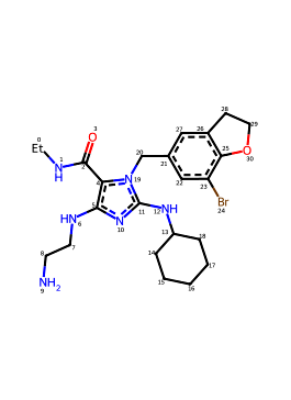 CCNC(=O)c1c(NCCN)nc(NC2CCCCC2)n1Cc1cc(Br)c2c(c1)CCO2